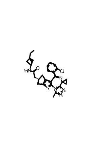 CCC12CC(NC(=O)C[C@@H]3Cc4sc5c(c4C3)C(c3ccccc3Cl)=NC3(CC3)c3nnc(C)n3-5)(C1)C2